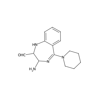 NC1N=C(N2CCCCC2)c2ccccc2NC1C=O